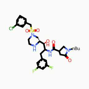 CCCCN1CC(C(=O)NC(Cc2cc(F)cc(F)c2)[C@H](O)[C@H]2CN(S(=O)(=O)Cc3cccc(Cl)c3)CCN2)CC1=O